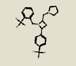 FC(F)(F)c1ccc(C2CC(CN3CCCC3)N2Cc2ccccc2C(F)(F)F)cc1